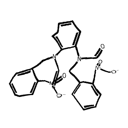 O=CN(Cc1ccccc1[N+](=O)[O-])c1ccccc1N(C=O)Cc1ccccc1[N+](=O)[O-]